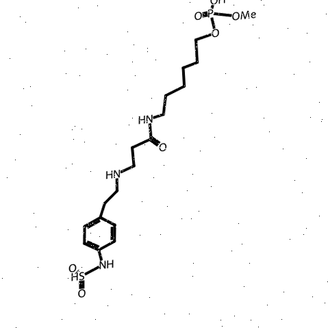 COP(=O)(O)OCCCCCCNC(=O)CCNCCc1ccc(N[SH](=O)=O)cc1